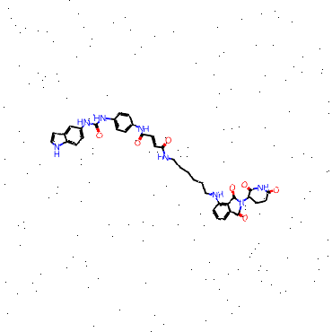 O=C(/C=C/C(=O)Nc1ccc(NC(=O)Nc2ccc3[nH]ccc3c2)cc1)NCCCCCCNc1cccc2c1C(=O)N(C1CCC(=O)NC1=O)C2=O